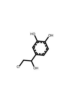 Oc1ccc(C(O)CCl)cc1O